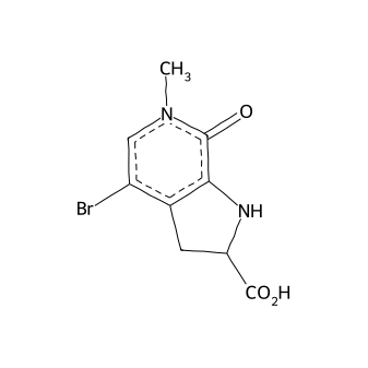 Cn1cc(Br)c2c(c1=O)NC(C(=O)O)C2